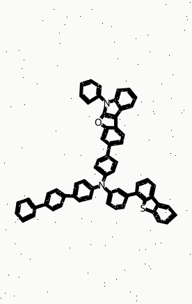 c1ccc(-c2ccc(-c3ccc(N(c4ccc(-c5ccc6c(c5)oc5c6c6ccccc6n5-c5ccccc5)cc4)c4cccc(-c5cccc6c5sc5ccccc56)c4)cc3)cc2)cc1